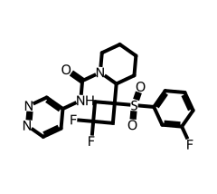 O=C(Nc1ccnnc1)N1CCCCC1C1(S(=O)(=O)c2cccc(F)c2)CC(F)(F)C1